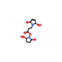 O=C(CCN1C(=O)C=CC1O)ON1C(=O)CCC1O